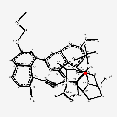 COCOc1cc(-c2cc3nc(SC)nc(N4C[C@H]5CC[C@@H](C4)N5C(=O)OC(C)(C)C)c3c(=O)o2)c2c(C#C[Si](C(C)C)(C(C)C)C(C)C)c(F)ccc2c1